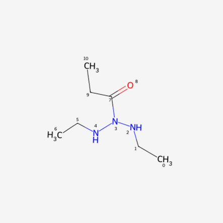 CCNN(NCC)C(=O)CC